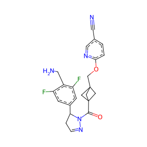 N#Cc1ccc(OCC23CC(C(=O)N4N=CCC4c4cc(F)c(CN)c(F)c4)(C2)C3)nc1